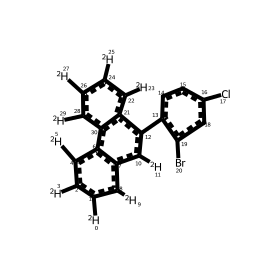 [2H]c1c([2H])c([2H])c2c(c1[2H])c([2H])c(-c1ccc(Cl)cc1Br)c1c([2H])c([2H])c([2H])c([2H])c12